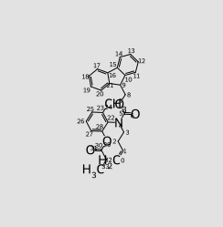 C=CCCN(C(=O)OCC1c2ccccc2-c2ccccc21)c1c(C)cccc1OC(=O)CC